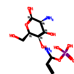 C=CC(N)OP(=O)(O)O.N[C@@H]1[C@@H](O)[C@H](O)[C@@H](CO)O[C@H]1O